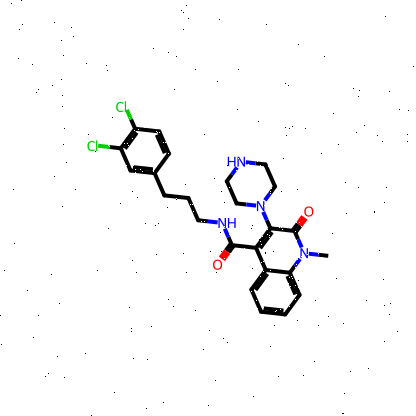 Cn1c(=O)c(N2CCNCC2)c(C(=O)NCCCc2ccc(Cl)c(Cl)c2)c2ccccc21